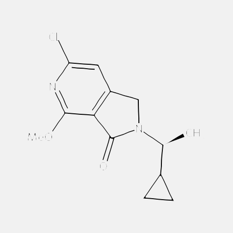 COc1nc(Cl)cc2c1C(=O)N([C@@H](C)C1CC1)C2